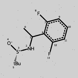 CC(N[S@@+]([O-])C(C)(C)C)c1c(F)cccc1F